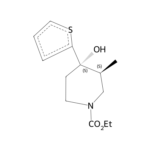 CCOC(=O)N1CC[C@@](O)(c2cccs2)[C@@H](C)C1